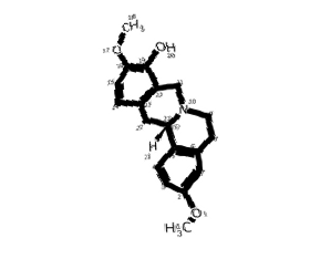 COc1ccc2c(c1)CCN1Cc3c(ccc(OC)c3O)C[C@@H]21